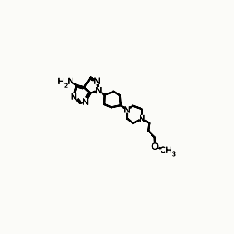 COCCCN1CCN(C2CCC(n3ncc4c(N)ncnc43)CC2)CC1